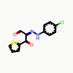 O=CC(=NNc1ccc(Cl)cc1)C(=O)c1cccs1